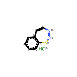 C1=Cc2ccccc2SN=N1.Cl